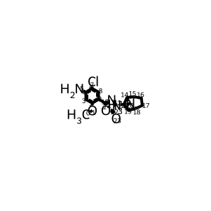 COc1cc(N)c(Cl)cc1-c1nn(C2CC3CCC(C2)N3C)c(=O)o1